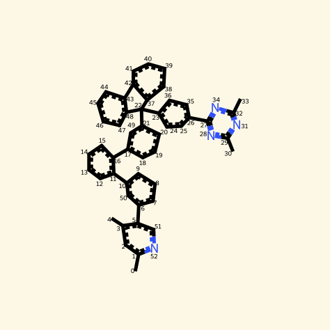 Cc1cc(C)c(-c2cccc(-c3ccccc3-c3cccc(C4(c5ccc(-c6nc(C)nc(C)n6)cc5)c5ccccc5-c5ccccc54)c3)c2)cn1